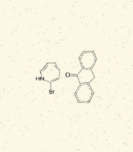 BrC1=CC=CC=CN1.O=C1c2ccccc2Cc2ccccc21